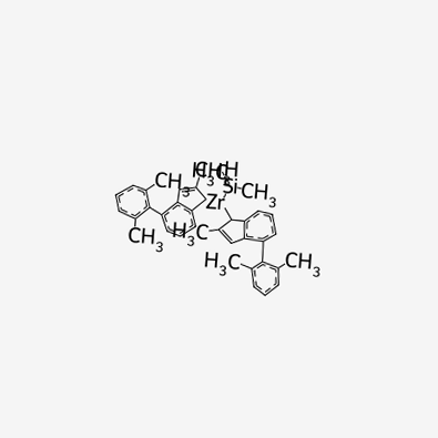 CC1=Cc2c(-c3c(C)cccc3C)cccc2[CH]1[Zr]([CH]1C(C)=Cc2c(-c3c(C)cccc3C)cccc21)[SiH](C)C